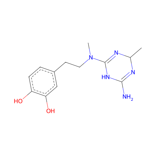 CC1N=C(N)NC(N(C)CCc2ccc(O)c(O)c2)=N1